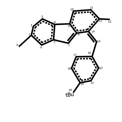 Cc1ccc2c(c1)[C]=c1c-2ccc(C)c1=Cc1ccc(C(C)(C)C)cc1